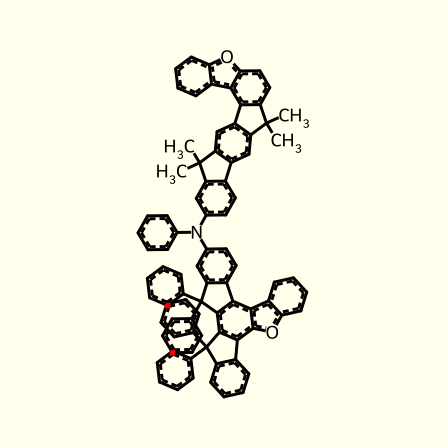 CC1(C)c2cc(N(c3ccccc3)c3ccc4c(c3)C(c3ccccc3)(c3ccccc3)c3c5c(c6oc7ccccc7c6c3-4)-c3ccccc3C5(c3ccccc3)c3ccccc3)ccc2-c2cc3c(cc21)-c1c(ccc2oc4ccccc4c12)C3(C)C